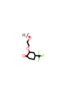 COCCOC1CC(C(F)(F)F)CCC1=O